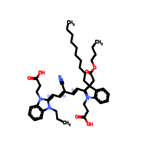 CCCCCCCCCCC1(CC(=O)OCCCC)C(/C=C/C(C#N)=C/C=C2\N(CCC)c3ccccc3N2CCC(=O)O)=[N+](CCC(=O)O)c2ccccc21